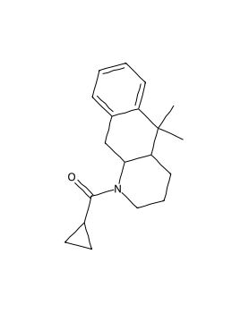 CC1(C)c2ccccc2CC2C1CCCN2C(=O)C1CC1